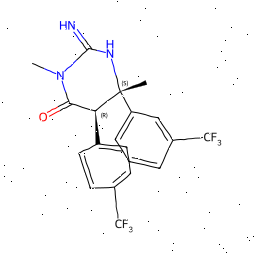 CN1C(=N)N[C@](C)(c2cccc(C(F)(F)F)c2)[C@@H](c2ccc(C(F)(F)F)cc2)C1=O